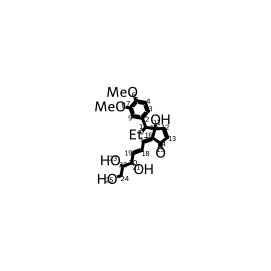 CCC(c1ccc(OC)c(OC)c1)C1(O)C=CC(=O)/C1=C\C=C\[C@H](O)[C@H](O)CO